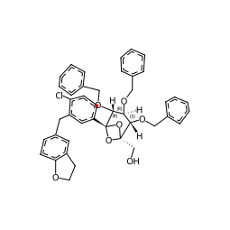 OC[C@]12O[C@@](c3ccc(Cl)c(Cc4ccc5c(c4)CCO5)c3)(O1)[C@H](OCc1ccccc1)[C@@H](OCc1ccccc1)[C@@H]2OCc1ccccc1